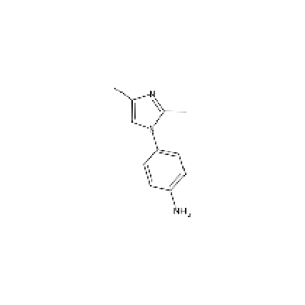 Cc1cn(-c2ccc(N)cc2)c(C)n1